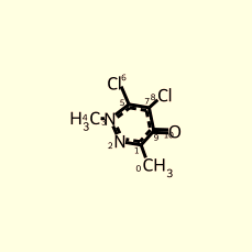 Cc1nn(C)c(Cl)c(Cl)c1=O